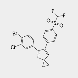 O=S(=O)(c1ccc(C2=CC3(C=C2c2ccc(Br)c(Cl)c2)CC3)cc1)C(F)F